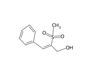 CS(=O)(=O)/C(=C\c1ccccc1)CO